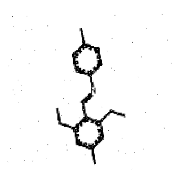 CCc1cc(C)cc(CC)c1[C]=Nc1ccc(C)cc1